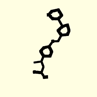 CC(CC(=O)O)c1ccc(OCc2cccc(-c3cccnc3)c2)cc1